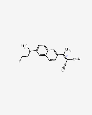 [C-]#[N+]/C(C#N)=C(/C)c1ccc2cc(N(C)CCF)ccc2c1